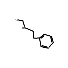 [CH2]C(=O)CNCCc1cccnc1